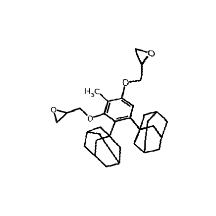 Cc1c(OCC2CO2)cc(C23CC4CC(CC(C4)C2)C3)c(C23CC4CC(CC(C4)C2)C3)c1OCC1CO1